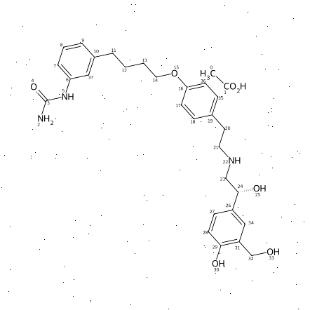 CC(=O)O.NC(=O)Nc1cccc(CCCCOc2ccc(CCNC[C@H](O)c3ccc(O)c(CO)c3)cc2)c1